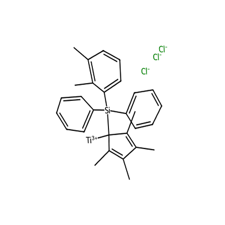 CC1=C(C)[C]([Ti+3])([Si](c2ccccc2)(c2ccccc2)c2cccc(C)c2C)C(C)=C1C.[Cl-].[Cl-].[Cl-]